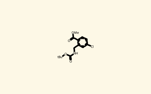 COC(=O)c1ccc(Cl)cc1CNC(=O)OC(C)(C)C